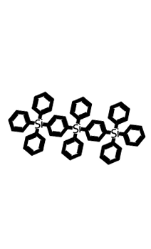 c1ccc([Si](c2ccccc2)(c2ccccc2)c2ccc([Si](c3ccccc3)(c3ccccc3)c3ccc([Si](c4ccccc4)(c4ccccc4)c4ccccc4)cc3)cc2)cc1